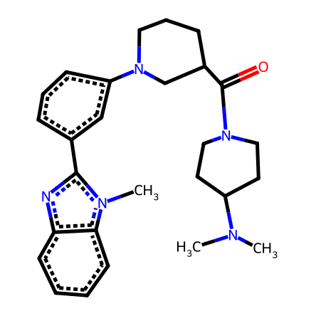 CN(C)C1CCN(C(=O)C2CCCN(c3cccc(-c4nc5ccccc5n4C)c3)C2)CC1